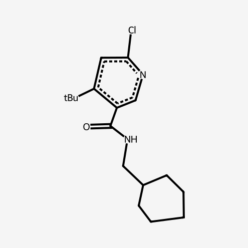 CC(C)(C)c1cc(Cl)ncc1C(=O)NCC1CCCCC1